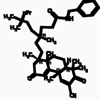 CCCC(C)(C)CC[C@](C)(CCC(=O)NCc1ccccc1)CC[C@]1(C)CC(=O)C=C2[C@@]3(C)C=C(C#N)C(=O)C(C)(C)[C@@H]3CC[C@]21C